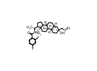 CCOC[C@@]1(O)CC[C@H]2[C@H](CC[C@@H]3[C@@H]2CC[C@]2(C)C([C@@H](C)NC(=O)c4ccc(F)cc4F)CC[C@@H]32)C1